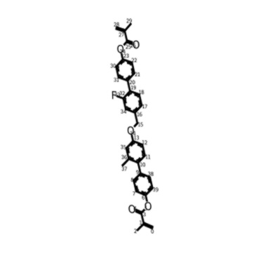 C=C(C)C(=O)Oc1ccc(-c2ccc(OCc3ccc(-c4ccc(OC(=O)C(=C)C)cc4)c(F)c3)cc2C)cc1